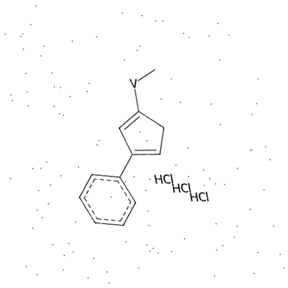 Cl.Cl.Cl.[CH3][V][C]1=CC(c2ccccc2)=CC1